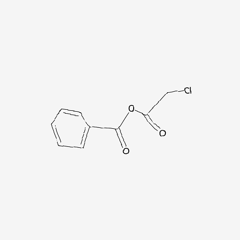 O=C(CCl)OC(=O)c1ccccc1